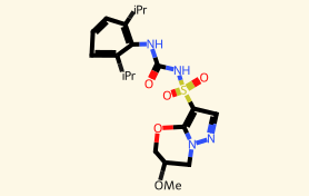 COC1COc2c(S(=O)(=O)NC(=O)Nc3c(C(C)C)cccc3C(C)C)cnn2C1